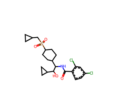 O=C(NC(C1CCC(S(=O)(=O)CC2CC2)CC1)C(O)C1CC1)c1ccc(Cl)cc1Cl